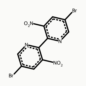 O=[N+]([O-])c1cc(Br)cnc1-c1ncc(Br)cc1[N+](=O)[O-]